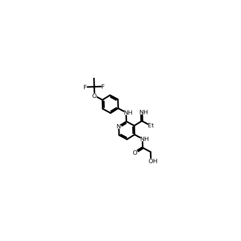 CCC(=N)c1c(NC(=O)CO)ccnc1Nc1ccc(OC(C)(F)F)cc1